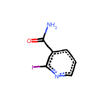 NC(=O)c1cccnc1I